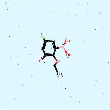 CCOc1c(Br)cc(F)cc1B(O)O